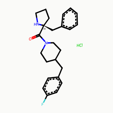 Cl.O=C(N1CCC(Cc2ccc(F)cc2)CC1)[C@@]1(Cc2ccccc2)CCCN1